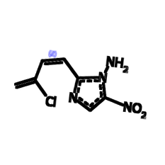 C=C(Cl)/C=C\c1ncc([N+](=O)[O-])n1N